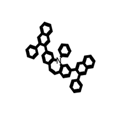 C1=Cc2ccc(-c3cc4ccccc4cc3-c3ccccc3)cc2N(c2ccccc2)c2cc(-c3cc4ccccc4cc3-c3ccccc3)ccc21